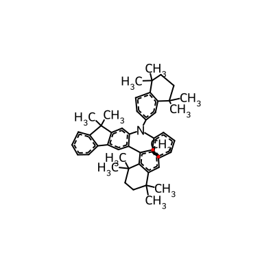 Cc1ccc2c(c1-c1cc3c(cc1N(c1ccccc1)c1ccc4c(c1)C(C)(C)CCC4(C)C)C(C)(C)c1ccccc1-3)C(C)(C)CCC2(C)C